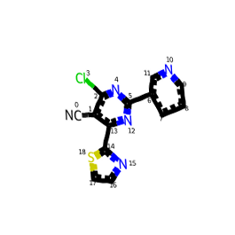 N#Cc1c(Cl)nc(-c2cccnc2)nc1-c1nccs1